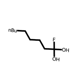 CCCCCCCCC(O)(O)F